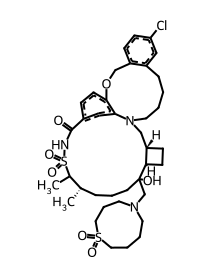 CC1[C@@H](C)CCCC(O)(CN2CCCCS(=O)(=O)CCC2)[C@@H]2CC[C@H]2CN2CCCCc3cc(Cl)ccc3COc3ccc(cc32)C(=O)NS1(=O)=O